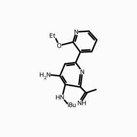 CCOc1ncccc1-c1cc(N)c(NC(C)CC)c(C(C)=N)n1